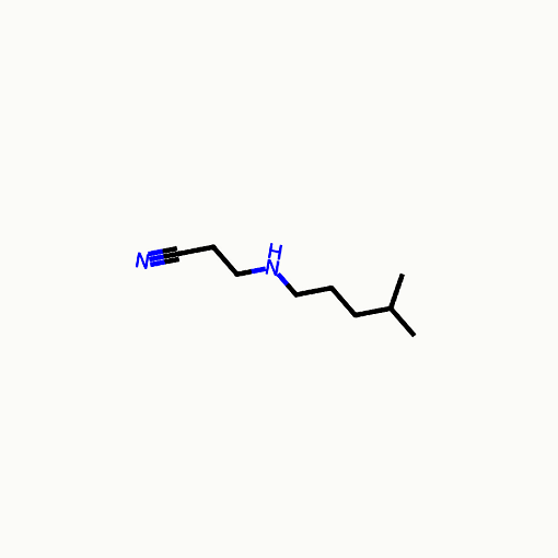 CC(C)CCCNCCC#N